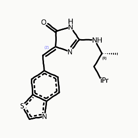 CC(C)C[C@@H](C)NC1=N/C(=C\c2ccc3ncsc3c2)C(=O)N1